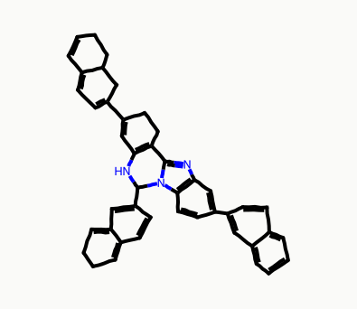 C1=CC2=CC=C(C3=CC4=C(CC3)c3nc5cc(-c6ccc7ccccc7c6)ccc5n3C(c3ccc5c(c3)=CCCC=5)N4)CC2CC1